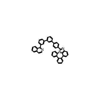 c1cc(-c2ccc(-c3nc4cccc5c4n3-c3ccccc3-c3ccccc3-5)cc2)cc(-c2cccc(-c3nccc4ccccc34)c2)c1